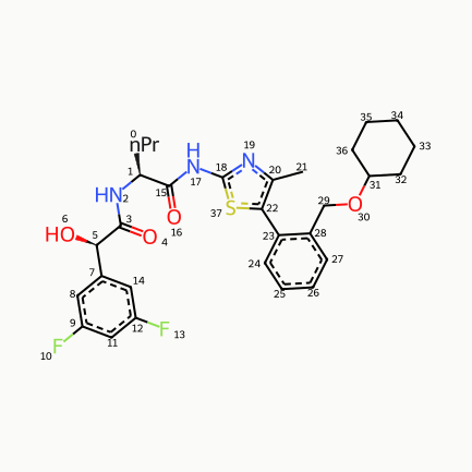 CCC[C@H](NC(=O)[C@H](O)c1cc(F)cc(F)c1)C(=O)Nc1nc(C)c(-c2ccccc2COC2CCCCC2)s1